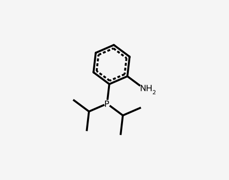 CC(C)P(c1ccccc1N)C(C)C